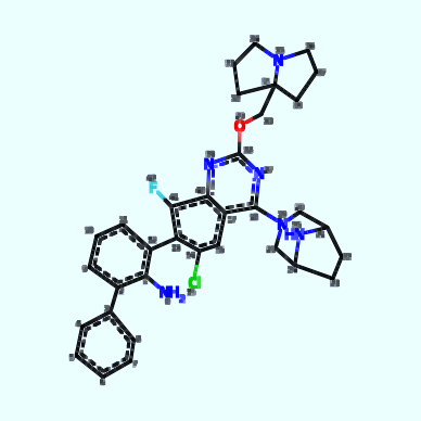 Nc1c(-c2ccccc2)cccc1-c1c(Cl)cc2c(N3CC4CCC(C3)N4)nc(OCC34CCCN3CCC4)nc2c1F